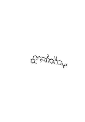 CC(=O)N1CCC(Nc2cc(C(=O)NC[C@H](O)CN3CCc4cccc(C)c4C3)ncn2)CC1